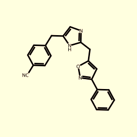 N#Cc1ccc(Cc2cnc(Cc3cc(-c4ccccc4)no3)[nH]2)cc1